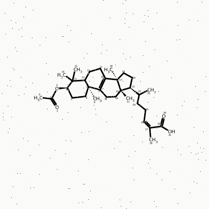 CC(=O)O[C@@H]1CC[C@]2(C)C3=C(CCC2C1(C)C)[C@@]1(C)CC[C@@H](C(C)CC/C=C(/C)C(=O)O)[C@]1(C)CC3